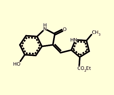 CCOC(=O)c1cc(C)[nH]c1/C=C1\C(=O)Nc2ccc(O)cc21